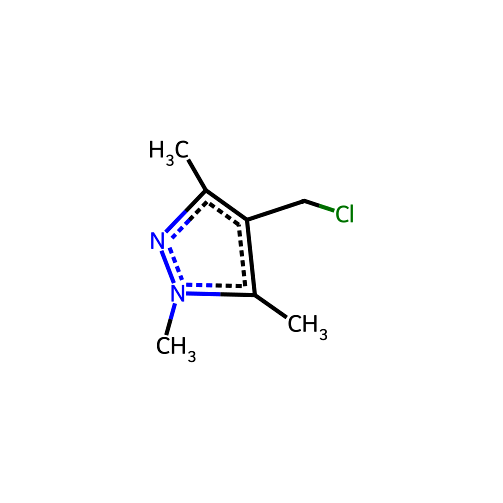 Cc1nn(C)c(C)c1CCl